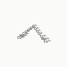 [Cr+3].[Cr+3].[Cu+2].[Cu+2].[Mn+2].[Mn+2].[O-2].[O-2].[O-2].[O-2].[O-2].[O-2].[O-2]